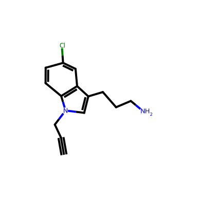 C#CCn1cc(CCCN)c2cc(Cl)ccc21